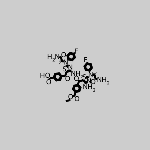 CCOC(=O)c1ccc(C(=O)c2sc(N(c3ccc(F)cc3)[C@H](C)C(N)=O)nc2N)cc1.C[C@H](C(N)=O)N(c1ccc(F)cc1)c1nc(N)c(C(=O)c2ccc(C(=O)O)cc2)s1